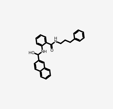 O=C(NCCCc1ccccc1)c1ccccc1NC(O)c1ccc2ccccc2c1